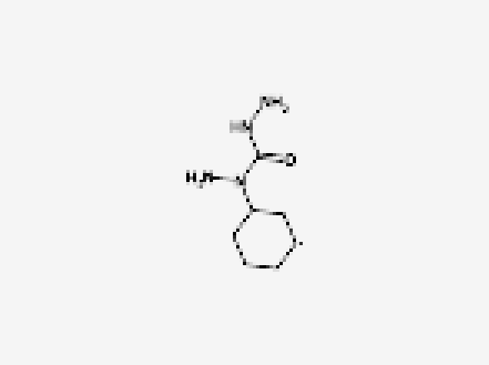 NNC(=O)N(N)C1C[CH]CCC1